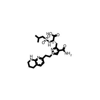 CC(C)CS(=O)(=O)N[C@@H](Cc1nn(CCc2ccc3c(n2)NCCC3)cc1C(N)=O)C(=O)O